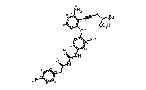 CC(C)(C)N(CC#Cc1c(Oc2ccc(NC(=O)NC(=O)Cc3ccc(F)cc3)cc2F)ccnc1N)C(=O)O